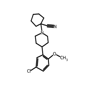 COc1ccc(Cl)cc1C1CCN(C2(C#N)CCCCC2)CC1